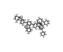 c1ccc(-c2cc(-c3ccccc3-c3cccnc3)nc(-c3ccc(-c4ccc(-c5ccc6c(c5)oc5ccccc56)c5oc6ccccc6c45)cc3)n2)cc1